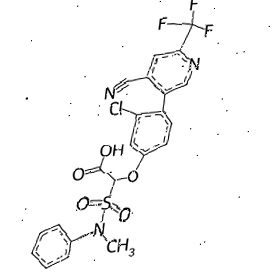 CN(c1ccccc1)S(=O)(=O)C(Oc1ccc(-c2cnc(C(F)(F)F)cc2C#N)c(Cl)c1)C(=O)O